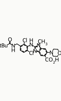 Cn1c(Nc2c(Cl)ccc(CNC(=O)C(C)(C)C)c2Cl)nc2cc(C(=O)O)c(N3CCOCC3)cc21